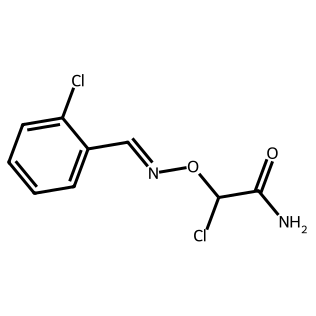 NC(=O)C(Cl)ON=Cc1ccccc1Cl